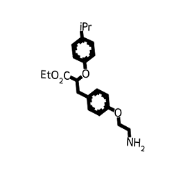 CCOC(=O)C(Cc1ccc(OCCN)cc1)Oc1ccc(C(C)C)cc1